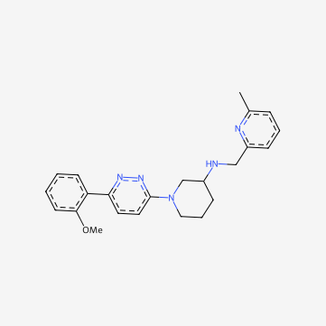 COc1ccccc1-c1ccc(N2CCCC(NCc3cccc(C)n3)C2)nn1